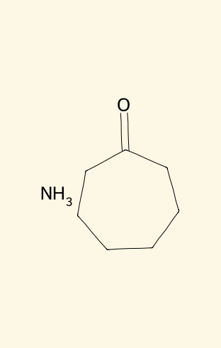 N.O=C1CCCCCC1